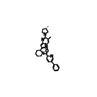 Cc1cn2nc([C@@H]3CCCCN3C(=O)c3ccc(-c4ccccc4)cn3)cc2nc1N1CC[C@H](C)C1